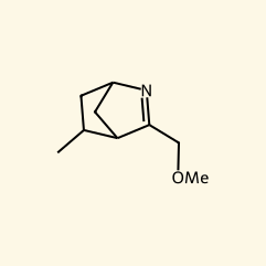 COCC1=NC2CC(C)C1C2